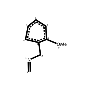 C=NCc1ccccc1OC